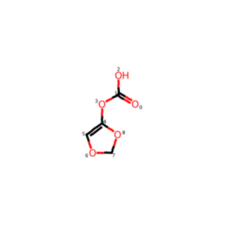 O=C(O)OC1=COCO1